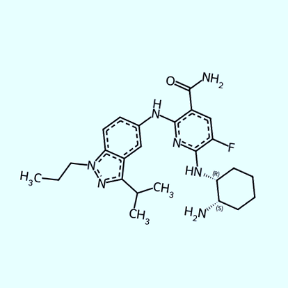 CCCn1nc(C(C)C)c2cc(Nc3nc(N[C@@H]4CCCC[C@@H]4N)c(F)cc3C(N)=O)ccc21